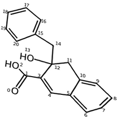 O=C(O)C1=Cc2ccccc2CC1(O)Cc1ccccc1